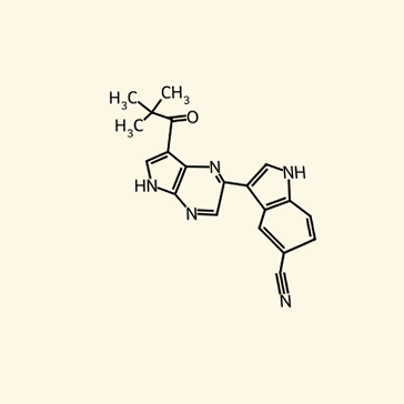 CC(C)(C)C(=O)c1c[nH]c2ncc(-c3c[nH]c4ccc(C#N)cc34)nc12